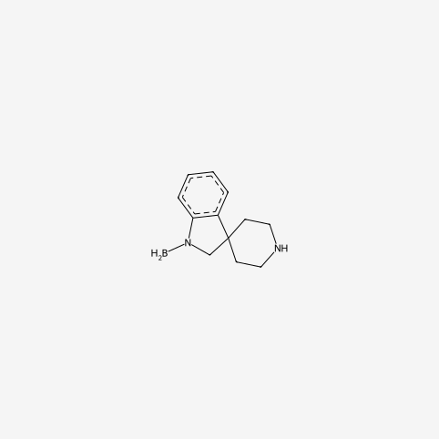 BN1CC2(CCNCC2)c2ccccc21